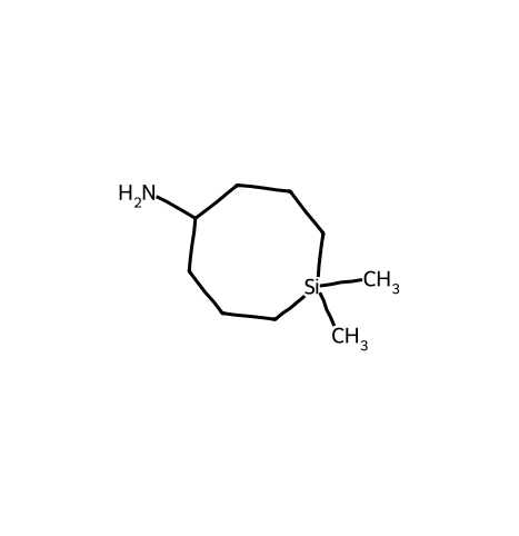 C[Si]1(C)CCCC(N)CCC1